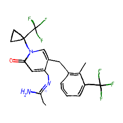 C/C(N)=N/c1cc(=O)n(C2(C(F)(F)F)CC2)cc1Cc1cccc(C(F)(F)F)c1C